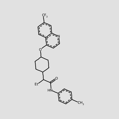 CCC(C(=O)Nc1ccc(C)cc1)C1CCC(Oc2ccnc3cc(C(F)(F)F)ccc23)CC1